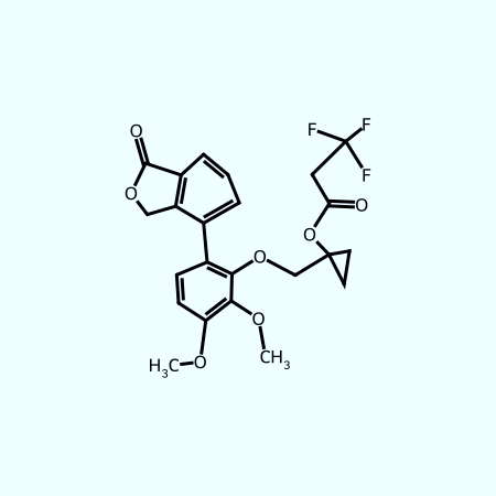 COc1ccc(-c2cccc3c2COC3=O)c(OCC2(OC(=O)CC(F)(F)F)CC2)c1OC